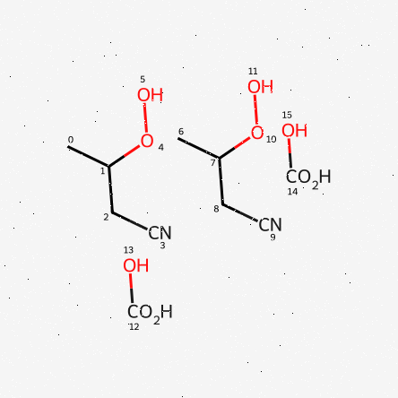 CC(CC#N)OO.CC(CC#N)OO.O=C(O)O.O=C(O)O